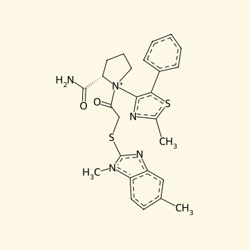 Cc1ccc2c(c1)nc(SCC(=O)[N+]1(c3nc(C)sc3-c3ccccc3)CCC[C@H]1C(N)=O)n2C